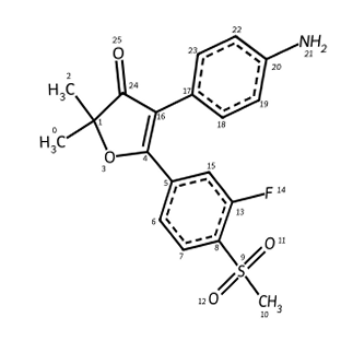 CC1(C)OC(c2ccc(S(C)(=O)=O)c(F)c2)=C(c2ccc(N)cc2)C1=O